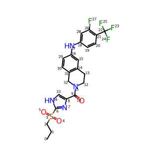 CCCS(=O)(=O)c1nc(C(=O)N2CCc3cc(Nc4ccc(C(F)(F)F)c(F)c4)ccc3C2)c[nH]1